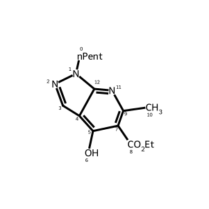 CCCCCn1ncc2c(O)c(C(=O)OCC)c(C)nc21